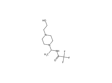 CC(NC(=O)C(F)(F)F)N1CCN(CCO)CC1